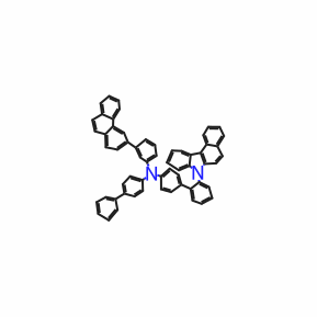 c1ccc(-c2ccc(N(c3ccc(-c4ccccc4-n4c5ccccc5c5c6ccccc6ccc54)cc3)c3cccc(-c4ccc5ccc6ccccc6c5c4)c3)cc2)cc1